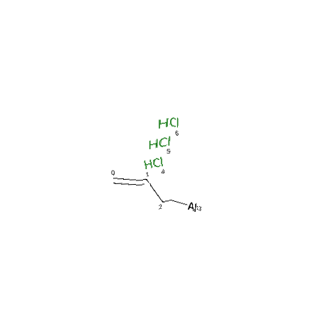 C=C[CH2][Al].Cl.Cl.Cl